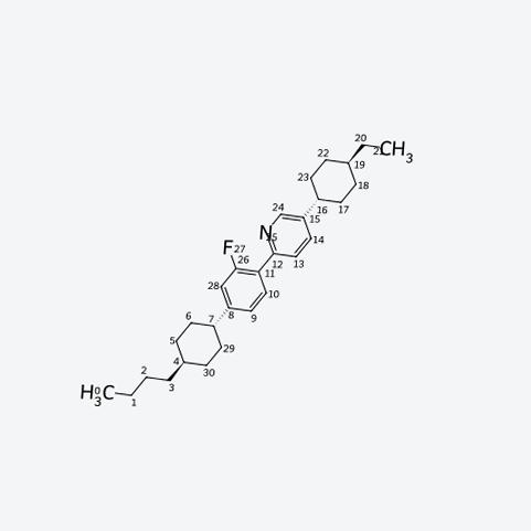 CCCC[C@H]1CC[C@H](c2ccc(-c3ccc([C@H]4CC[C@H](CC)CC4)cn3)c(F)c2)CC1